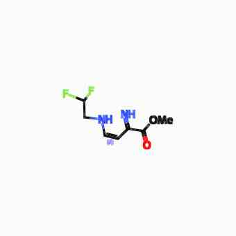 COC(=O)C(=N)/C=C\NCC(F)F